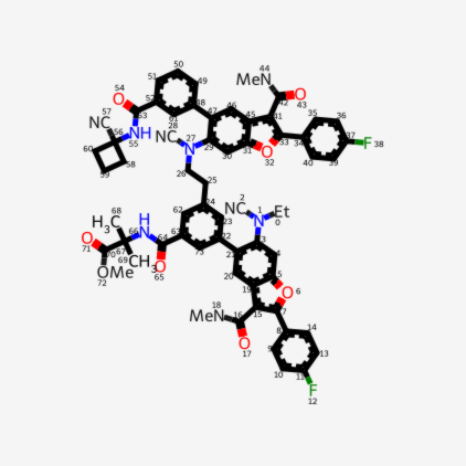 CCN(C#N)c1cc2oc(-c3ccc(F)cc3)c(C(=O)NC)c2cc1-c1cc(CCN(C#N)c2cc3oc(-c4ccc(F)cc4)c(C(=O)NC)c3cc2-c2cccc(C(=O)NC3(C#N)CCC3)c2)cc(C(=O)NC(C)(C)C(=O)OC)c1